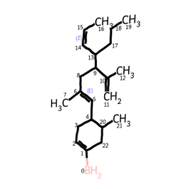 BC1=CCC(/C=C(\C)CC(C(=C)C)C(/C=C\C)CCC)C(C)C1